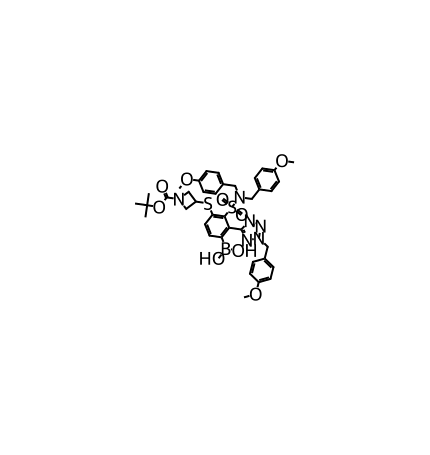 COc1ccc(CN(Cc2ccc(OC)cc2)S(=O)(=O)c2c(SC3CN(C(=O)OC(C)(C)C)C3)ccc(B(O)O)c2-c2nnn(Cc3ccc(OC)cc3)n2)cc1